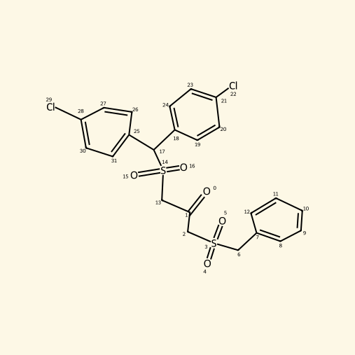 O=C(CS(=O)(=O)Cc1ccccc1)CS(=O)(=O)C(c1ccc(Cl)cc1)c1ccc(Cl)cc1